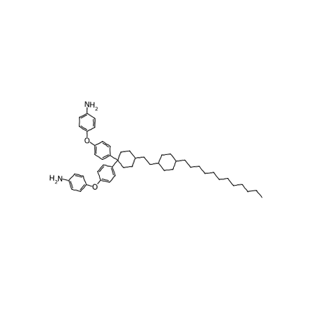 CCCCCCCCCCCCC1CCC(CCC2CCC(c3ccc(Oc4ccc(N)cc4)cc3)(c3ccc(Oc4ccc(N)cc4)cc3)CC2)CC1